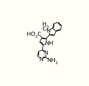 Cn1c(-c2[nH]c(-c3ccnc(N)n3)cc2C(=O)O)cc2ccccc21